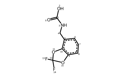 O=C(O)NCc1cccc2c1OC(F)(F)O2